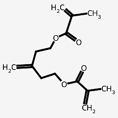 C=C(CCOC(=O)C(=C)C)CCOC(=O)C(=C)C